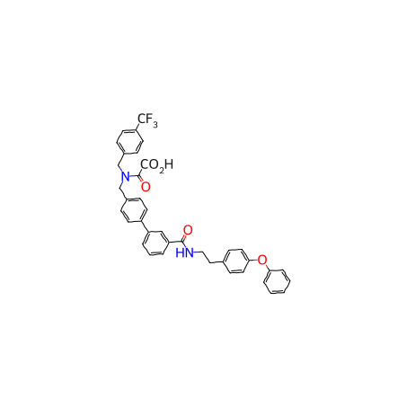 O=C(O)C(=O)N(Cc1ccc(-c2cccc(C(=O)NCCc3ccc(Oc4ccccc4)cc3)c2)cc1)Cc1ccc(C(F)(F)F)cc1